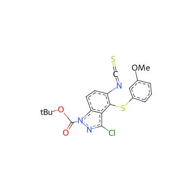 COc1cccc(Sc2c(N=C=S)ccc3c2c(Cl)nn3C(=O)OC(C)(C)C)c1